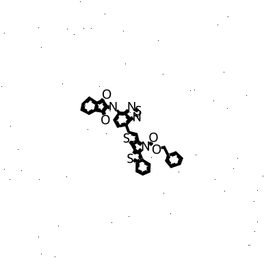 O=C(OCc1ccccc1)n1c2cc(-c3ccc(N=c4c(=O)c5ccccc5c4=O)c4nsnc34)sc2c2sc3ccccc3c21